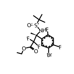 CCOC(=O)C(F)(F)[C@](C)(N[S@+]([O-])C(C)(C)C)c1cc(Br)c(F)cc1F